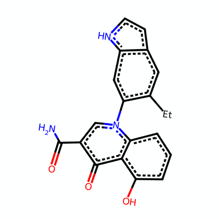 CCc1cc2cc[nH]c2cc1-n1cc(C(N)=O)c(=O)c2c(O)cccc21